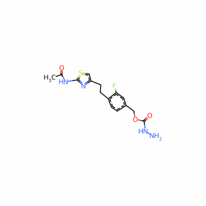 CC(=O)Nc1nc(CCc2ccc(COC(=O)NN)cc2F)cs1